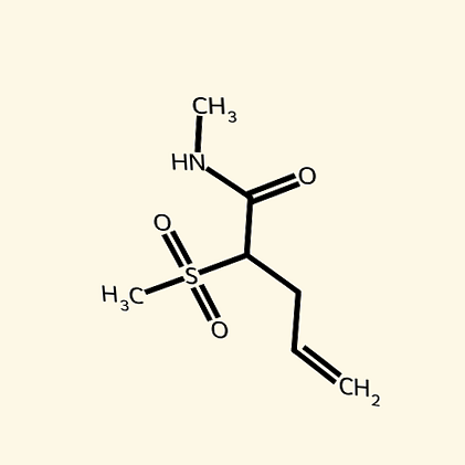 C=CCC(C(=O)NC)S(C)(=O)=O